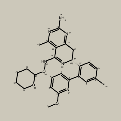 COc1cccc(-c2cc(F)ccc2[C@H]2Cc3nc(N)nc(C)c3C(NOC3CCCCO3)=N2)n1